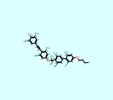 CCCCOc1cc(F)c(-c2cc(F)c(C(F)(F)Oc3cc(F)c(C#Cc4cc(F)c(F)c(F)c4)c(F)c3)c(F)c2)c(F)c1